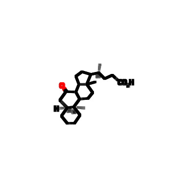 C[C@H](CCC(=O)O)C1CCC2C3C(=O)C[C@@H]4CCCC[C@]4(C)C3CCC21C